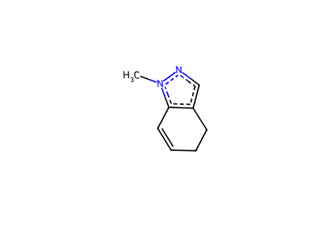 Cn1ncc2c1C=CCC2